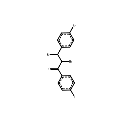 O=C(c1ccc(I)cc1)C(Br)C(Br)c1ccc(Br)cc1